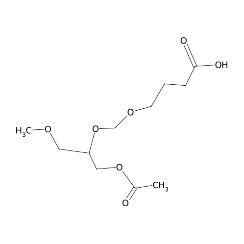 COCC(COC(C)=O)OCOCCCC(=O)O